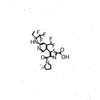 CC[C@H](Nc1cc(C(F)F)c(-c2sc(C(=O)O)nc2C(=O)N2CCC[C@@H]2C)cn1)C(F)(F)F